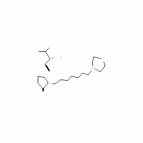 CC(C)[C@@H](O)/C=C/[C@H]1CCC(=O)[C@@H]1CCCCCCCN1CCOCC1